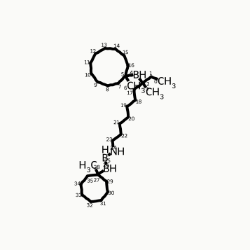 CCC(C)(BC1(C)CCCCCCCCCC1)CCCCCCCNBBC1(C)CCCCCCC1